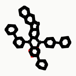 c1ccc(-c2ccc(N(c3ccccc3)c3cc4oc5cc6ccccc6cc5c4cc3N(c3ccc(-c4ccccc4)cc3)c3cccc(-c4ccccc4)c3)cc2)cc1